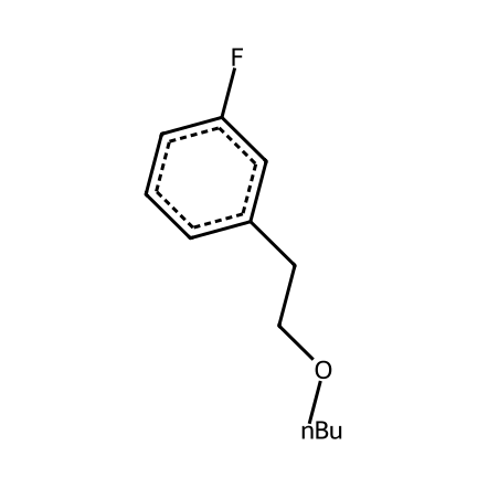 [CH2]CCCOCCc1cccc(F)c1